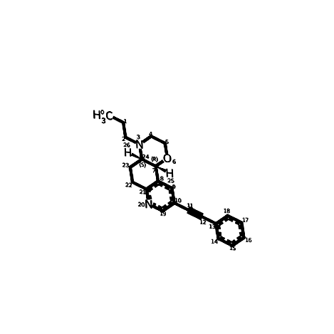 CCCN1CCO[C@@H]2c3cc(C#Cc4ccccc4)cnc3CC[C@@H]21